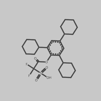 O=C(Oc1c(C2CCCCC2)cc(C2CCCCC2)cc1C1CCCCC1)C(F)(F)S(=O)(=O)O